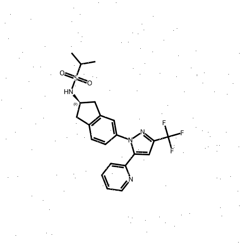 CC(C)S(=O)(=O)N[C@@H]1Cc2ccc(-n3nc(C(F)(F)F)cc3-c3ccccn3)cc2C1